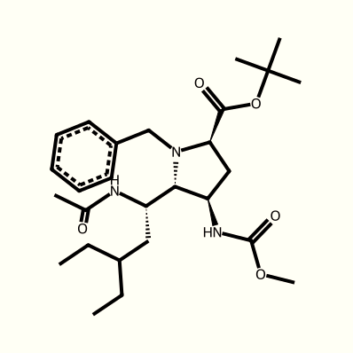 CCC(CC)C[C@H](NC(C)=O)[C@H]1[C@H](NC(=O)OC)C[C@H](C(=O)OC(C)(C)C)N1Cc1ccccc1